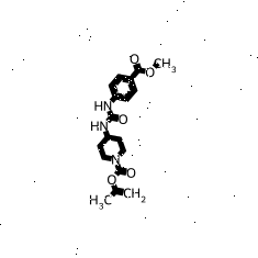 C=C(C)OC(=O)N1CCC(NC(=O)Nc2ccc(C(=O)OC)cc2)CC1